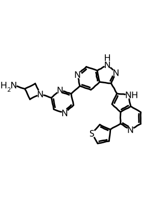 NC1CN(c2cncc(-c3cc4c(-c5cc6c(-c7ccsc7)nccc6[nH]5)n[nH]c4cn3)n2)C1